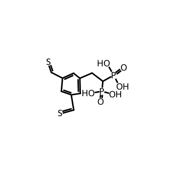 O=P(O)(O)C(Cc1cc(C=S)cc(C=S)c1)P(=O)(O)O